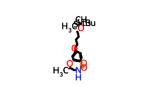 C[C@@H]1CNS(=O)(=O)c2ccc(OCCCCO[Si](C)(C)C(C)(C)C)cc2O1